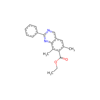 CCOC(=O)c1c(C)cc2cnc(-c3ccccc3)nc2c1C